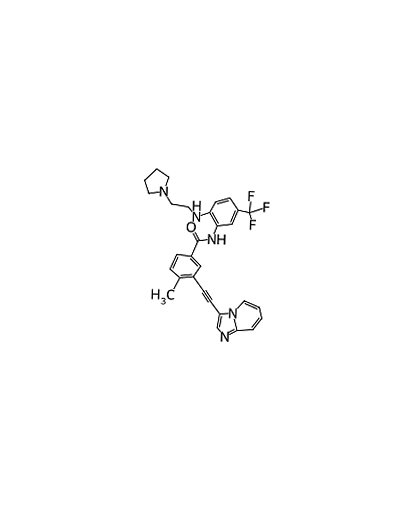 Cc1ccc(C(=O)Nc2cc(C(F)(F)F)ccc2NCCN2CCCC2)cc1C#Cc1cnc2ccccn12